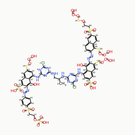 CC(CNc1nc(Cl)nc(Nc2cc(SOOO)cc3cc(S(=O)(=O)O)c(/N=N/c4ccc(S(=O)(=O)CCOS(=O)(=O)O)cc4)c(O)c23)n1)Nc1nc(Cl)nc(Nc2cc(S(=O)(=O)O)cc3cc(SOOO)c(/N=N/c4ccc5cc(S(=O)(=O)CCOSOOO)ccc5c4SOOO)c(O)c23)n1